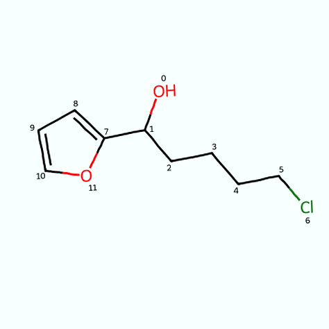 OC(CCCCCl)c1ccco1